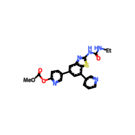 CCNC(=O)Nc1nc2cc(-c3ccc(OC(=O)OC)nc3)cc(-c3cccnc3)c2s1